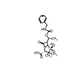 C[C@H](OC(=O)NCc1ccccc1)[C@@H]1C(=O)N2[C@@H](C(=O)O)C(C)(C)S(=O)(=O)[C@H]12